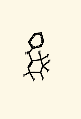 FC1C(F)(F)C=C(Nc2ccccc2)C(F)(F)C1(F)F